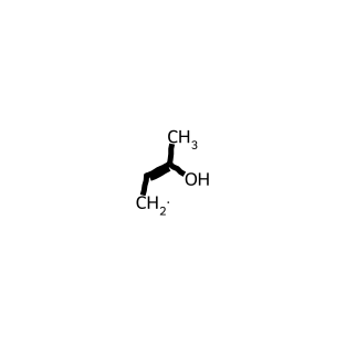 [CH2]C=C(C)O